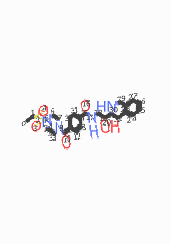 CCS(=O)(=O)N1CCN(C(=O)c2ccc(C(=O)NCC(O)C3Cc4ccccc4CN3)cc2)CC1